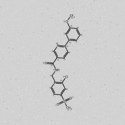 CS(=O)(=O)c1ccc(CNC(=O)c2ccc(-c3cccc(OC(F)(F)F)c3)nc2)c(Cl)c1